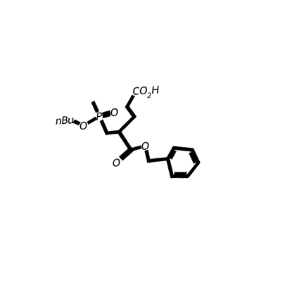 CCCCOP(C)(=O)CC(CCC(=O)O)C(=O)OCc1ccccc1